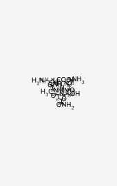 C[C@H](NC(=O)[C@H](CCC(N)=O)NC(=O)[C@H](CO)NC(=O)[C@@H](N)CC(N)=O)C(=O)N[C@@H](CCCCN)C(=O)O